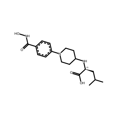 CC(C)C[C@H](NC1CCN(c2ccc(C(=O)NO)cc2)CC1)C(=O)O